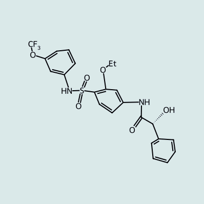 CCOc1cc(NC(=O)[C@H](O)c2ccccc2)ccc1S(=O)(=O)Nc1cccc(OC(F)(F)F)c1